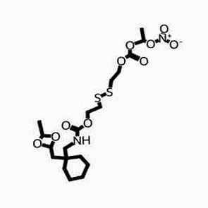 CC1OC(CC2(CNC(=O)OCCSSCCOC(=O)OC(C)O[N+](=O)[O-])CCCCC2)O1